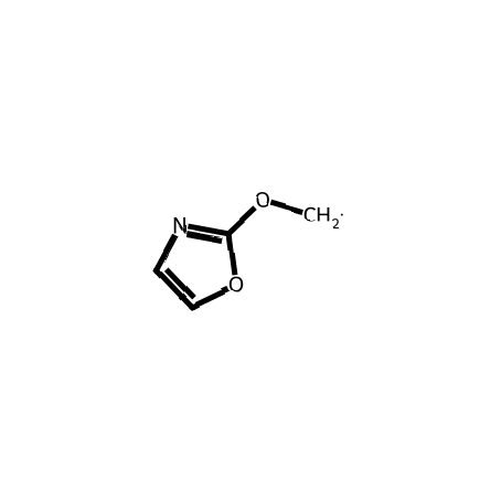 [CH2]Oc1ncco1